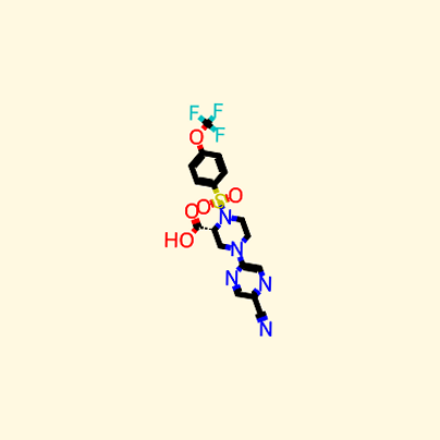 N#Cc1cnc(N2CCN(S(=O)(=O)c3ccc(OC(F)(F)F)cc3)[C@@H](C(=O)O)C2)cn1